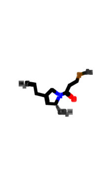 C=CCC1=C[C@@H](C(=O)O)N(C(=O)CCSC(C)=O)C1